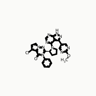 COc1ncc(-c2n[nH]c3ncnc(N4CCC[C@H]4c4nn5ccc(Cl)c5c(=O)n4-c4ccccc4)c23)cn1